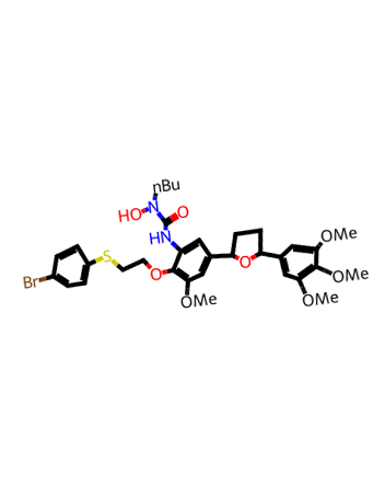 CCCCN(O)C(=O)Nc1cc(C2CCC(c3cc(OC)c(OC)c(OC)c3)O2)cc(OC)c1OCCSc1ccc(Br)cc1